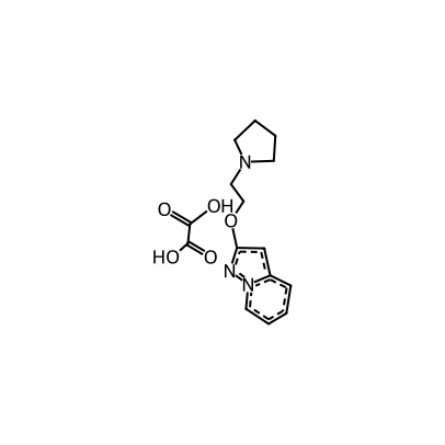 O=C(O)C(=O)O.c1ccn2nc(OCCN3CCCC3)cc2c1